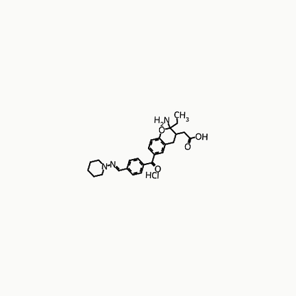 CCC1(N)Oc2ccc(C(=O)c3ccc(C=NN4CCCCC4)cc3)cc2CC1CC(=O)O.Cl